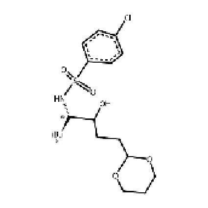 CC[C@H](C)[C@H](NS(=O)(=O)c1ccc(Cl)cc1)C(O)CCC1OCCCO1